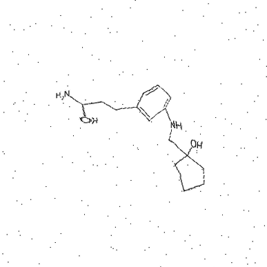 NC(O)CCc1cccc(NCC2(O)CCCC2)c1